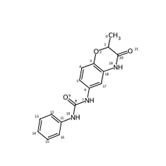 CC1Oc2ccc(NC(=O)Nc3ccccc3)cc2NC1=O